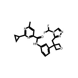 Cc1cc(C(=O)Nc2cccc(C3(Cc4nncn4C(F)F)COC3)c2)nc(C2CC2)n1